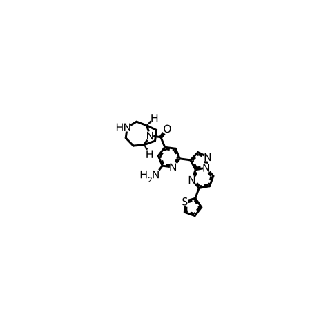 Nc1cc(C(=O)N2[C@H]3CCNC[C@@H]2CC3)cc(-c2cnn3ccc(-c4cccs4)nc23)n1